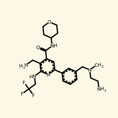 CN(CCN)Cc1cccc(-c2cc(C(=O)NC3CCOCC3)c(CN)c(NCC(F)(F)F)n2)c1